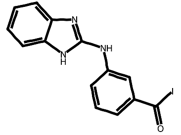 O=C(I)c1cccc(Nc2nc3ccccc3[nH]2)c1